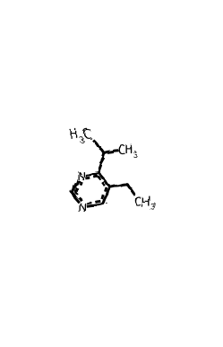 CCc1[c]ncnc1C(C)C